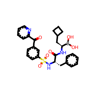 O=C(c1cccc(S(=O)(=O)N[C@@H](Cc2ccccc2)C(=O)N[C@@H](CC2CCC2)B(O)O)c1)c1ccccn1